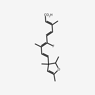 CC(C=CC(F)=C(C)C=CC1(C)C=C(C)OC1C)=CC(=O)O